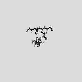 CCCCC(=O)C[S+](CCCC)CCCC.O=S(=O)([O-])C(F)(F)F